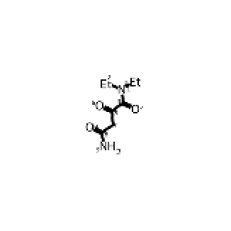 CCN(CC)C(=O)C(=O)CC(N)=O